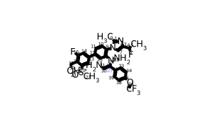 Cc1nc(C(C)F)cn1-c1ccc(-c2cc(F)c(CO)c([S+](C)[O-])c2)cc1N(N)/C(=C\N)c1ccc(OC(F)(F)F)cc1